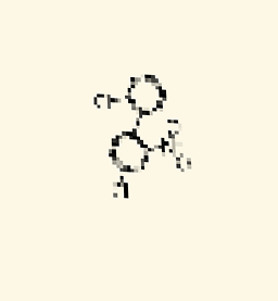 O=[N+]([O-])c1cc(Cl)ccc1-c1ccccc1Cl